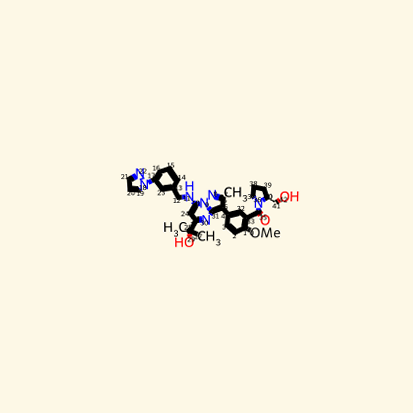 COc1ccc(-c2c(C)nn3c(NCc4cccc(-n5cccn5)c4)cc(C(C)(C)O)nc23)cc1C(=O)N1CCC[C@@H]1CO